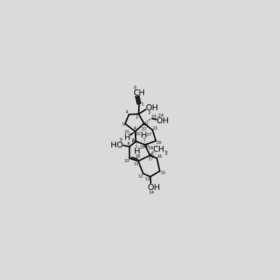 C#CC1(O)CC[C@H]2[C@@H]3C(O)C=C4CC(O)CC[C@]4(C)[C@@H]3CC[C@@]21CO